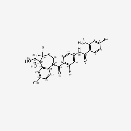 Cc1cc(F)ccc1C(=O)Nc1ccc(C(=O)N2CCC(F)(F)[C@](O)(CO)c3cc(Cl)ccc32)c(F)c1